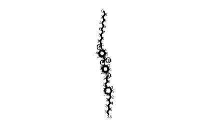 CCCCCCCCCCCCOc1ccc(C(=O)Oc2ccc(OCCCC3CCC(CCCCCCC)CC3)cc2)cc1